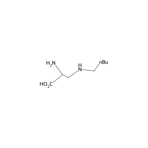 CCCCCNCC(N)C(=O)O